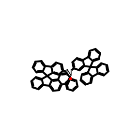 c1ccc(N(c2ccc3c(c2)C2(c4ccccc4-c4ccccc42)c2ccccc2-3)c2ccc3c(c2)C2(c4ccccc4-3)c3ccccc3-c3ccc4ccccc4c32)cc1